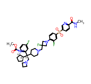 CNC(=O)c1ccc(S(=O)(=O)c2ccc(N3CC(F)(CN4CCC([C@@](CN5CCC5)(c5cccc(F)c5)[C@H]5CCC[C@@H]5NC(=O)OC)CC4)C3)c(F)c2)cn1